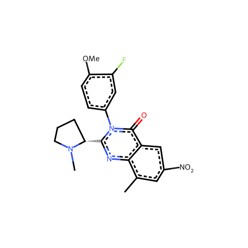 COc1ccc(-n2c([C@H]3CCCN3C)nc3c(C)cc([N+](=O)[O-])cc3c2=O)cc1F